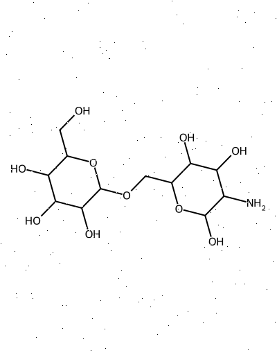 NC1C(O)OC(COC2OC(CO)C(O)C(O)C2O)C(O)C1O